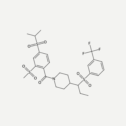 CCC(C1CCN(C(=O)c2ccc(S(=O)(=O)C(C)C)cc2S(C)(=O)=O)CC1)S(=O)(=O)c1cccc(C(F)(F)F)c1